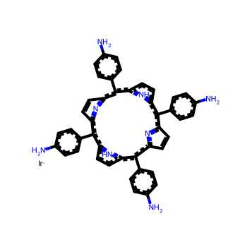 Nc1ccc(-c2c3nc(c(-c4ccc(N)cc4)c4ccc([nH]4)c(-c4ccc(N)cc4)c4nc(c(-c5ccc(N)cc5)c5ccc2[nH]5)C=C4)C=C3)cc1.[Ir]